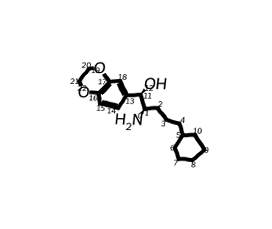 N[C@H](CCCC1CCCCC1)[C@H](O)c1ccc2c(c1)OCCO2